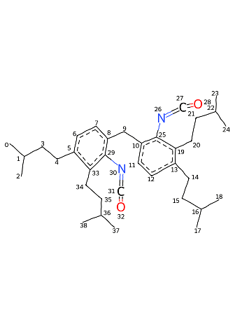 CC(C)CCc1ccc(Cc2ccc(CCC(C)C)c(CCC(C)C)c2N=C=O)c(N=C=O)c1CCC(C)C